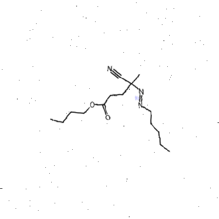 CCCCC/N=N/C(C)(C#N)CCC(=O)OCCCC